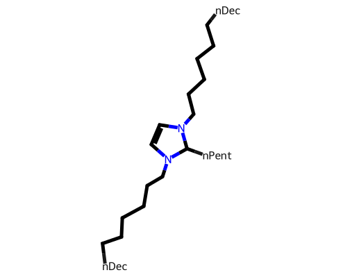 CCCCCCCCCCCCCCCCN1C=CN(CCCCCCCCCCCCCCCC)C1CCCCC